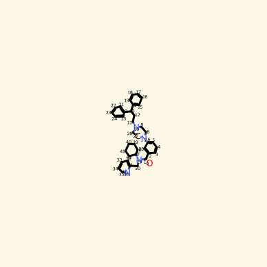 O=C(c1cccc(N2CCN(CCC(c3ccccc3)c3ccccc3)CC2)c1)N(Cc1ccccn1)C1CCCCC1